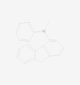 CN(c1ccccc1)c1cccc2c1-c1ccccc1C2